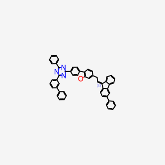 C(/Cc1ccc2c(c1)oc1cc(-c3nc(-c4ccccc4)nc(-c4cccc(-c5ccccc5)c4)n3)ccc12)=C1/c2ccccc2-c2cc(-c3ccccc3)ccc21